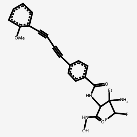 CCC(N)(C(F)F)C(NC(=O)c1ccc(C#CC#Cc2ccccc2OC)cc1)C(=O)NO